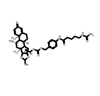 CCCC1O[C@@H]2CC3[C@@H]4CCC5=CC(=O)C=C[C@]5(C)C4[C@@H](O)C[C@]3(C)[C@]2(C(=O)COC(=O)OCc2ccc(NC(=O)CCCCNC(N)=O)cc2)O1